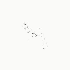 Cc1nnc(NC(=O)c2cc(C3CC3NCC3CCOCC3)sc2C)s1.Cl.Cl